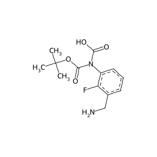 CC(C)(C)OC(=O)N(C(=O)O)c1cccc(CN)c1F